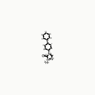 [2H]n1ncn(-c2ccc(-c3ccccc3)cc2)c1=O